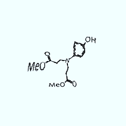 COC(=O)CCN(CCC(=O)OC)c1ccc(O)cc1